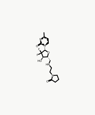 Cc1ccn([C@@H]2O[C@H](CNCCN3CCCC3=O)[C@@H](O)C2(F)F)c(=O)n1